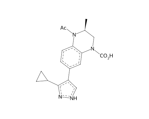 CC(=O)N1c2ccc(-c3c[nH]nc3C3CC3)cc2N(C(=O)O)C[C@@H]1C